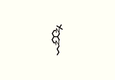 CCCCN1CCC2CCN(C(C)(C)C)CC2C1